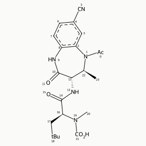 CC(=O)N1c2cc(C#N)ccc2NC(=O)[C@@H](NC(=O)[C@H](CC(C)(C)C)N(C)C(=O)O)[C@@H]1C